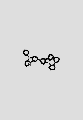 c1ccc(-c2ccccc2-n2c3ccccc3c3cc(-c4ccc5c(c4)c4ncccc4n5-c4ccccc4)ccc32)cc1